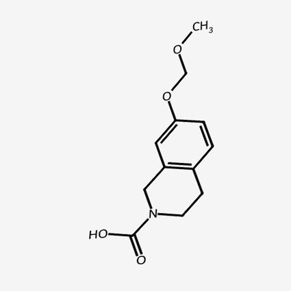 COCOc1ccc2c(c1)CN(C(=O)O)CC2